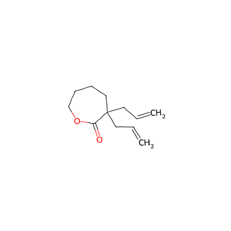 C=CCC1(CC=C)CCCCOC1=O